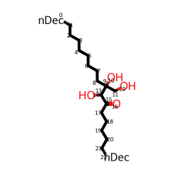 CCCCCCCCCCCCCCCCCCC(O)(CO)C(O)C(=O)CCCCCCCCCCCCCCC